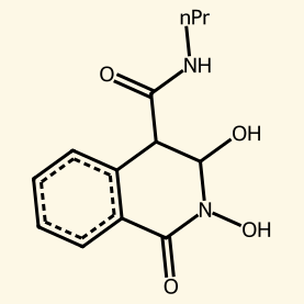 CCCNC(=O)C1c2ccccc2C(=O)N(O)C1O